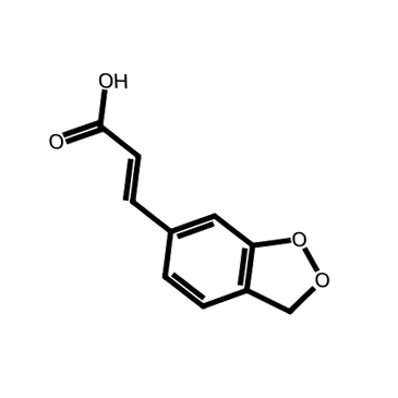 O=C(O)C=Cc1ccc2c(c1)OOC2